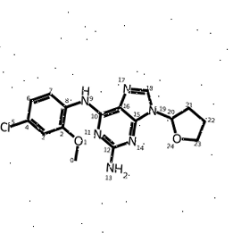 COc1cc(Cl)ccc1Nc1nc(N)nc2c1ncn2C1CCCO1